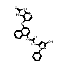 O=C(Nc1ccc(Oc2ccnc3[nH]c(=O)[nH]c23)c2ccccc12)Nc1cc(O)nn1-c1ccccc1